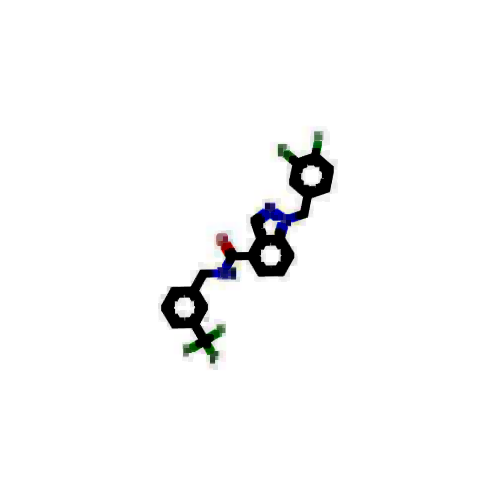 O=C(NCc1cccc(C(F)(F)F)c1)c1cccc2c1cnn2Cc1ccc(F)c(F)c1